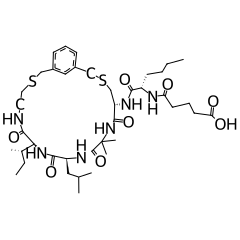 CCCC[C@H](NC(=O)CCCC(=O)O)C(=O)N[C@H]1CSCc2cccc(c2)CSCCNC(=O)[C@H]([C@@H](C)CC)NC(=O)[C@H](CC(C)C)NC(=O)C(C)(C)NC1=O